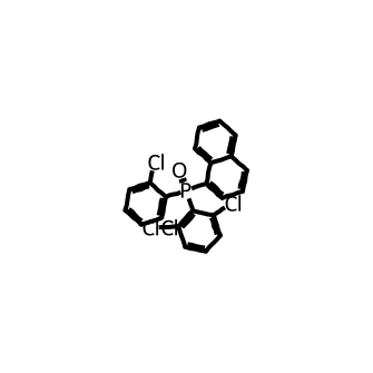 O=P(c1c(Cl)cccc1Cl)(c1c(Cl)cccc1Cl)c1cccc2ccccc12